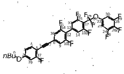 CCCCOc1ccc(C#Cc2cc(F)c(-c3cc(F)c(C(F)(F)Oc4cc(F)c(F)c(F)c4)c(F)c3)c(F)c2)c(F)c1